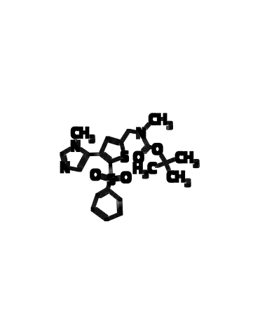 CN(Cc1cc(-c2cncn2C)c(S(=O)(=O)c2ccccc2)s1)C(=O)OC(C)(C)C